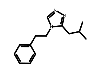 CC(C)Cc1nncn1CCc1ccccc1